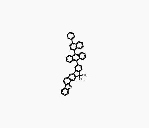 CC1(C)c2ccc(-c3c4ccccc4c(-c4ccc(C5=CC=CCC5)c5ccccc45)c4ccccc34)cc2-c2cc3ccc4c5ccccc5oc4c3cc21